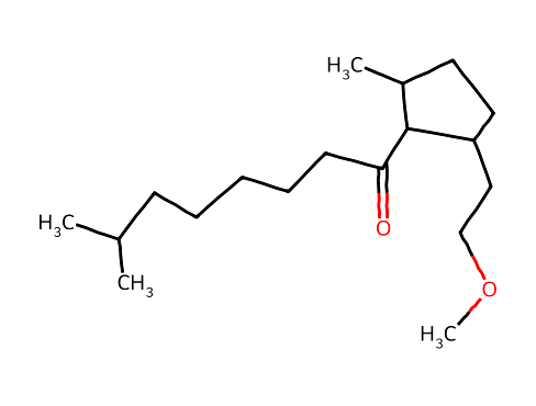 COCCC1CCC(C)C1C(=O)CCCCCC(C)C